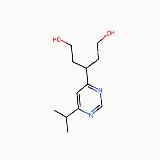 CC(C)c1cc(C(CCO)CCO)ncn1